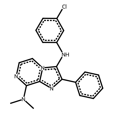 CN(C)c1nccn2c(Nc3cccc(Cl)c3)c(-c3ccccc3)nc12